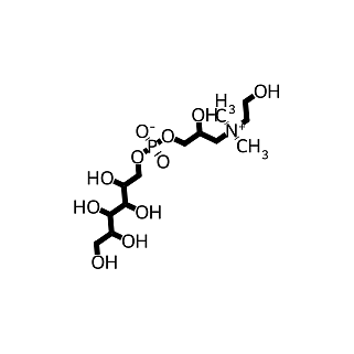 C[N+](C)(CCO)CC(O)COP(=O)([O-])OCC(O)C(O)C(O)C(O)CO